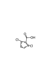 O=C(O)c1c(Cl)ccn1Cl